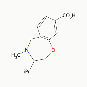 CC(C)C1COc2cc(C(=O)O)ccc2CN1C